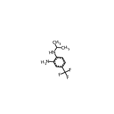 CC(C)Nc1ccc(C(F)(F)F)cc1N